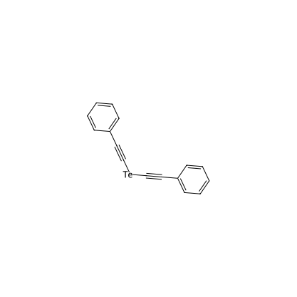 C(#Cc1ccccc1)[Te]C#Cc1ccccc1